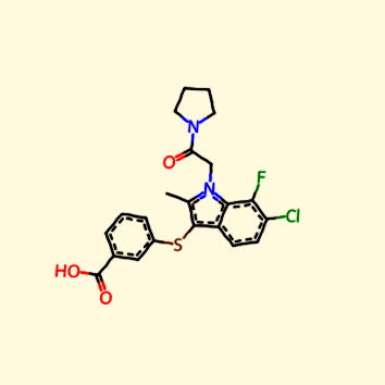 Cc1c(Sc2cccc(C(=O)O)c2)c2ccc(Cl)c(F)c2n1CC(=O)N1CCCC1